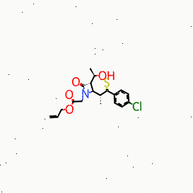 C=CCOC(=O)CN1C(=O)[C@H]([C@@H](C)O)[C@H]1[C@@H](C)C(=S)c1ccc(Cl)cc1